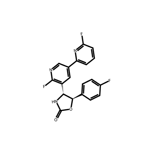 O=C1N[C@H](c2cc(-c3cccc(F)n3)cnc2F)[C@@H](c2ccc(F)cc2)O1